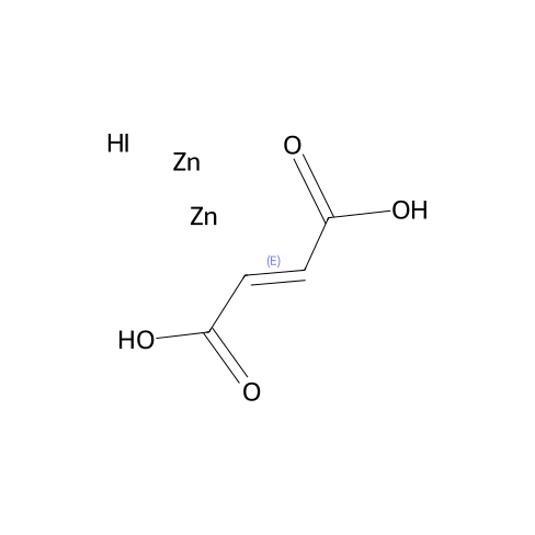 I.O=C(O)/C=C/C(=O)O.[Zn].[Zn]